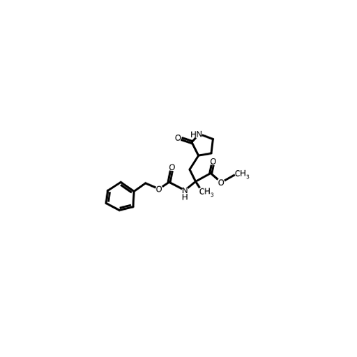 COC(=O)C(C)(CC1CCNC1=O)NC(=O)OCc1ccccc1